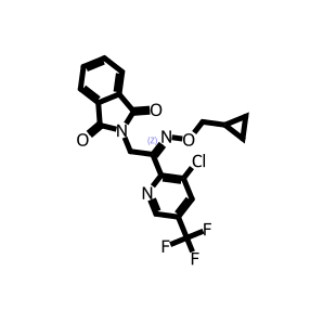 O=C1c2ccccc2C(=O)N1C/C(=N/OCC1CC1)c1ncc(C(F)(F)F)cc1Cl